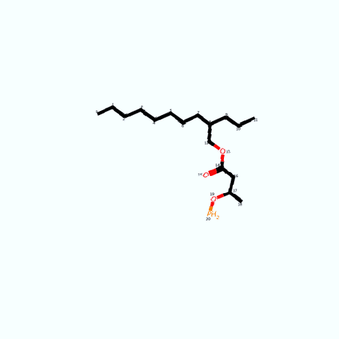 CCCCCCCCC(CCC)COC(=O)CC(C)OP